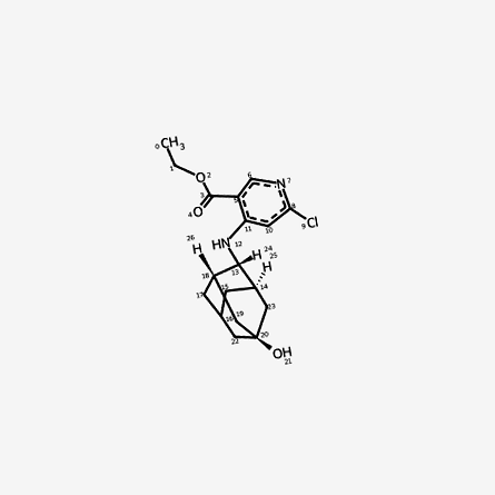 CCOC(=O)c1cnc(Cl)cc1N[C@@H]1[C@@H]2CC3C[C@H]1C[C@@](O)(C3)C2